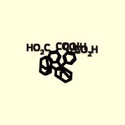 O=C(O)c1ccc(C2(c3ccc(C(=O)O)c(C(=O)O)c3)C3CC4CC(C3)CC2(C23CC5CC(CC(C5)C2)C3)C4)cc1C(=O)O